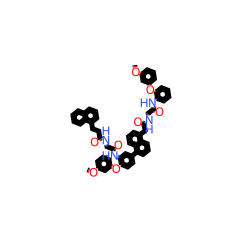 COc1cccc(Oc2ccc(-c3cccc4c(CC(=O)NCC(=O)Nc5ccccc5Oc5cccc(OC)c5)cccc34)cc2NC(=O)CNC(=O)CCc2cccc3ccccc23)c1